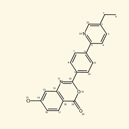 CCc1ccc(-c2ccc(-c3nc4cc(Cl)ccc4c(=O)o3)cc2)nc1